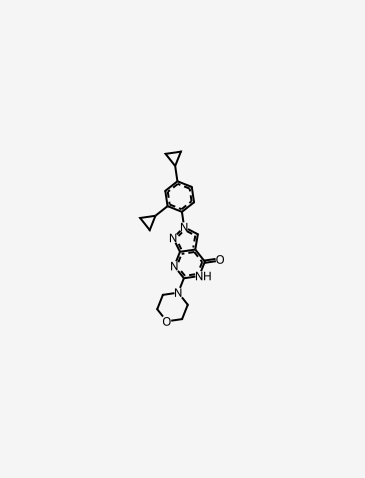 O=c1[nH]c(N2CCOCC2)nc2nn(-c3ccc(C4CC4)cc3C3CC3)cc12